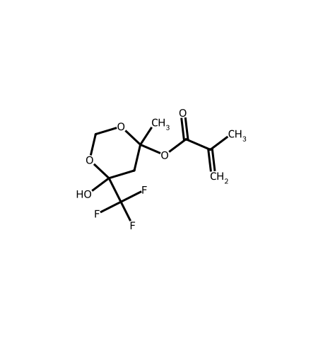 C=C(C)C(=O)OC1(C)CC(O)(C(F)(F)F)OCO1